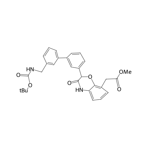 COC(=O)Cc1cccc2c1OC(c1cccc(-c3cccc(CNC(=O)OC(C)(C)C)c3)c1)C(=O)N2